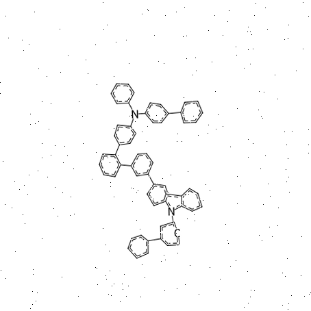 c1ccc(-c2ccc(N(c3ccccc3)c3ccc(-c4ccccc4-c4cccc(-c5ccc6c(c5)c5ccccc5n6-c5cccc(-c6ccccc6)c5)c4)cc3)cc2)cc1